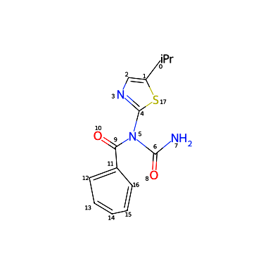 CC(C)c1cnc(N(C(N)=O)C(=O)c2ccccc2)s1